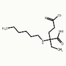 CCCCCCNC(CC)(CCC(=O)O)C(=O)O